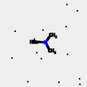 C[N](C)[RaH]